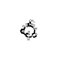 Cn1cc2c(n1)C(=O)NCC1CN(CCO1)CN/C=C(\C=N)c1cccc(n1)C(=O)N2